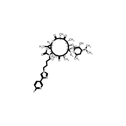 CO[C@@]1(C)C[C@@H](C)C(=O)[C@H](C)[C@H]2N(CCCCn3cnc(-c4ccc(F)nc4)c3)C(=O)O[C@@]23C(C)[C@H]3OC(=O)[C@H](C)C(=O)[C@H](C)[C@H]1O[C@@H]1O[C@H](C)C[C@H](N(C)C)[C@H]1O